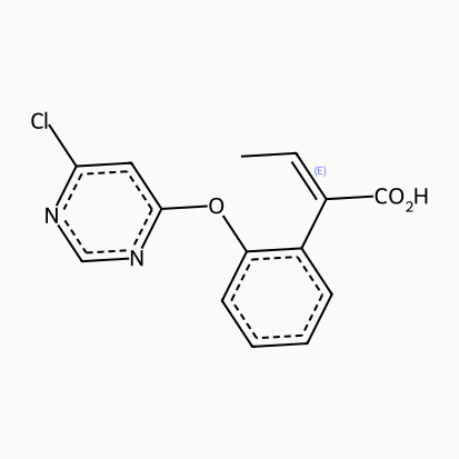 C/C=C(/C(=O)O)c1ccccc1Oc1cc(Cl)ncn1